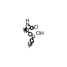 Cl.FC(F)(F)c1ccc(OC2CCC(c3nnc4n3-c3ccc(Cl)cc3CNC4)CC2)cc1